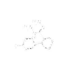 CCc1ccc(-c2ccccc2/C(=N/N)NN)cc1